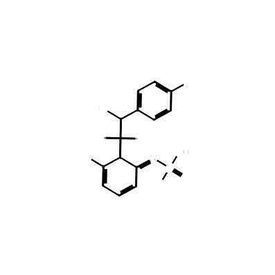 CCC(c1ccc(O)cc1)C(O)(O)C1C(O)=CC=CC1=NP(=O)(O)O